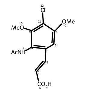 COc1cc(C=CC(=O)O)c(NC(C)=O)c(OC)c1Cl